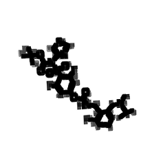 CC(C)N(C)Cc1cccc(F)c1CNC(=O)Oc1cc(F)c(S(=O)(=O)N(C(=O)OC(C)(C)C)c2cscn2)c(F)c1